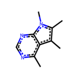 Cc1ncnc2c1c(C)c(C)n2C